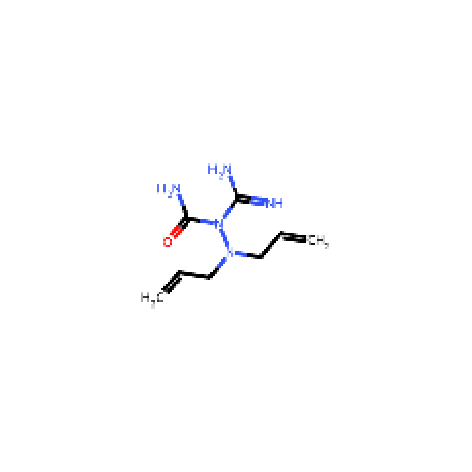 C=CCN(CC=C)N(C(=N)N)C(N)=O